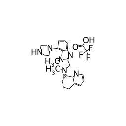 CN(Cc1nc2cccc(N3CCNCC3)c2n1C)[C@H]1CCCc2cccnc21.O=C(O)C(F)(F)F